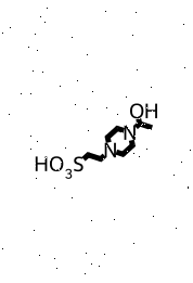 CC(O)N1CCN(CCS(=O)(=O)O)CC1